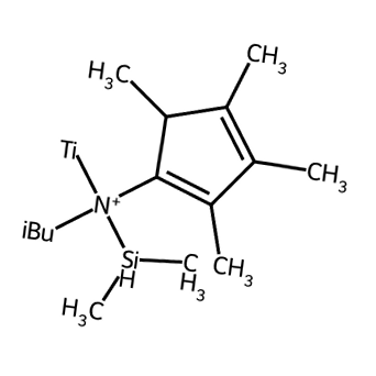 CCC(C)[N+]([Ti])(C1=C(C)C(C)=C(C)C1C)[SiH](C)C